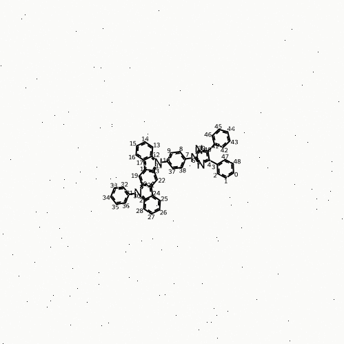 c1ccc(-c2nn(-c3ccc(-n4c5ccccc5c5cc6c(cc54)c4ccccc4n6-c4ccccc4)cc3)nc2-c2ccccc2)cc1